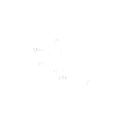 COc1c(C(C)C)cc(C=C2C(=O)Nc3cc(F)ccc32)cc1C(C)C